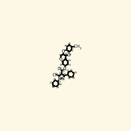 Cc1ccc(Oc2coc3cc(OC(=O)c4c(-c5ccccc5)nn(-c5ccccc5)c4Cl)ccc3c2=O)cc1